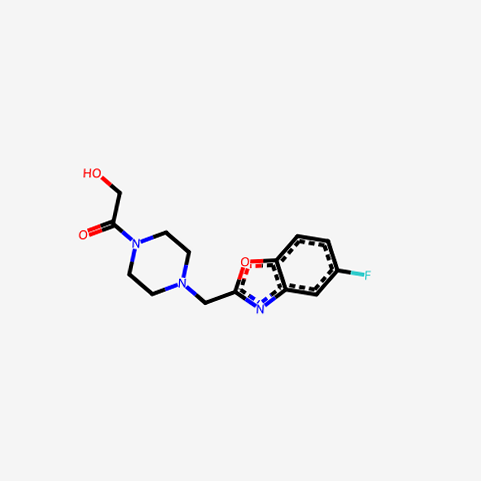 O=C(CO)N1CCN(Cc2nc3cc(F)ccc3o2)CC1